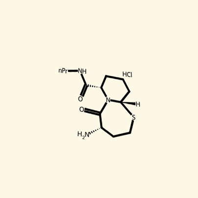 CCCNC(=O)[C@@H]1CCC[C@@H]2SCC[C@H](N)C(=O)N21.Cl